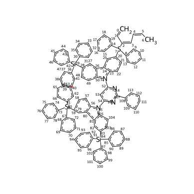 C=C/C(=C\C=C/C)S(c1ccccc1)(c1ccccc1)c1ccc2c(c1)c1cc([Si](c3ccccc3)(c3ccccc3)c3ccccc3)ccc1n2-c1cc(-n2c3ccc([Si](c4ccccc4)(c4ccccc4)c4ccccc4)cc3c3cc([Si](c4ccccc4)(c4ccccc4)c4ccccc4)ccc32)nc(-c2ccccc2)n1